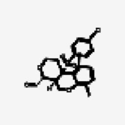 O=C[C@@H]1OCC[C@@]2(S(=O)(=O)c3ccc(Cl)cc3)c3c(F)ccc(F)c3OC[C@@H]12